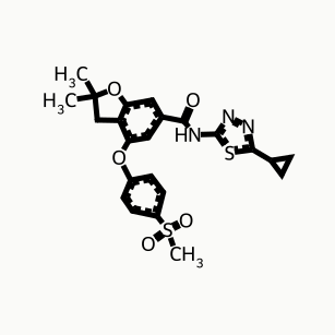 CC1(C)Cc2c(Oc3ccc(S(C)(=O)=O)cc3)cc(C(=O)Nc3nnc(C4CC4)s3)cc2O1